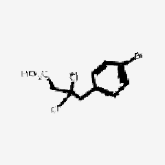 O=C(O)CC(Cl)(Cl)Cc1ccc(Br)cc1